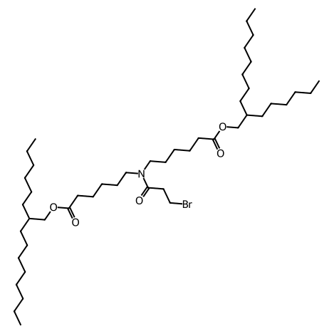 CCCCCCCCC(CCCCCC)COC(=O)CCCCCN(CCCCCC(=O)OCC(CCCCCC)CCCCCCCC)C(=O)CCBr